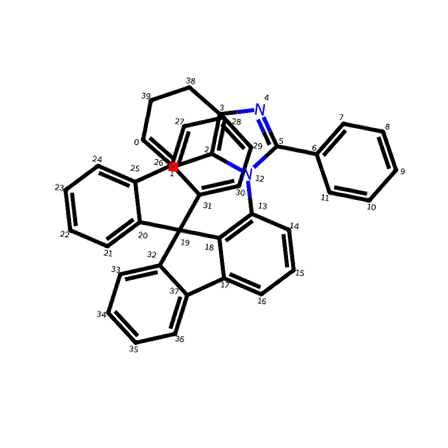 C1=Cc2c(nc(-c3ccccc3)n2-c2cccc3c2C2(c4ccccc4-c4ccccc42)c2ccccc2-3)CC1